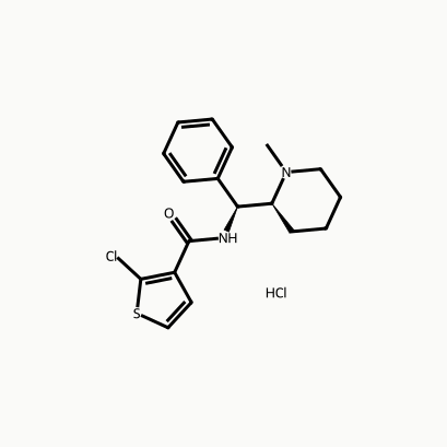 CN1CCCC[C@H]1[C@@H](NC(=O)c1ccsc1Cl)c1ccccc1.Cl